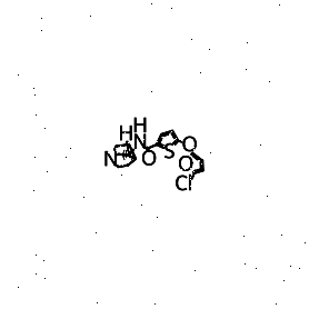 O=C(N[C@H]1CN2CCC1CC2)c1ccc(Oc2ccc(Cl)o2)s1